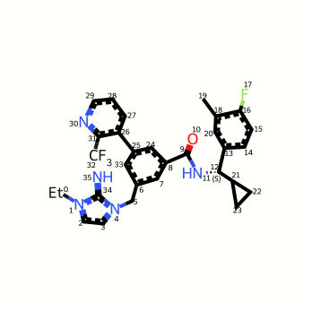 CCn1ccn(Cc2cc(C(=O)N[C@H](c3ccc(F)c(C)c3)C3CC3)cc(-c3cccnc3C(F)(F)F)c2)c1=N